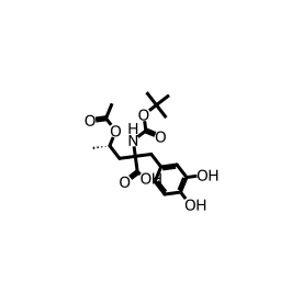 CC(=O)O[C@@H](C)CC(Cc1ccc(O)c(O)c1)(NC(=O)OC(C)(C)C)C(=O)O